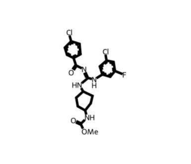 COC(=O)NC1CCC(N/C(=N\C(=O)c2ccc(Cl)cc2)Nc2cc(F)cc(Cl)c2)CC1